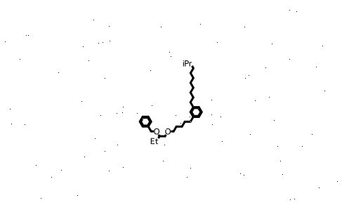 CCC(COCCCCCc1cccc(CCCCCCCCC(C)C)c1)OCc1ccccc1